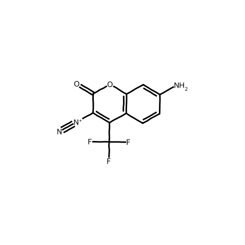 N#[N+]c1c(C(F)(F)F)c2ccc(N)cc2oc1=O